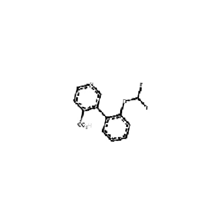 O=C(O)c1ccncc1-c1ccccc1OC(F)F